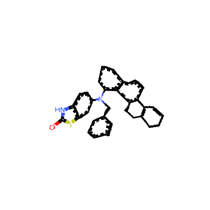 O=c1[nH]c2ccc(N(Cc3ccccc3)c3cccc4ccc5c(c34)CCC3=C5C=CCC3)cc2s1